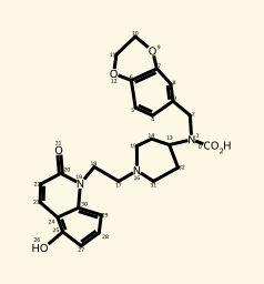 O=C(O)N(Cc1ccc2c(c1)OCCO2)C1CCN(CCn2c(=O)ccc3c(O)cccc32)CC1